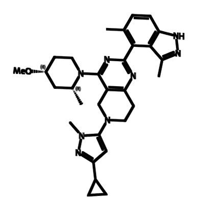 CO[C@@H]1CCN(c2nc(-c3c(C)ccc4[nH]nc(C)c34)nc3c2CN(c2cc(C4CC4)nn2C)CC3)[C@H](C)C1